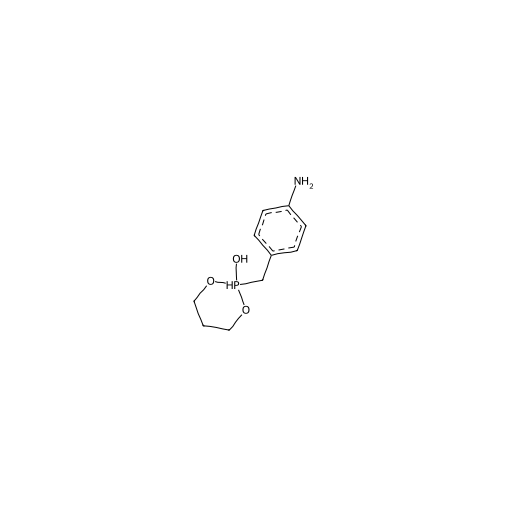 Nc1ccc(C[PH]2(O)OCCCO2)cc1